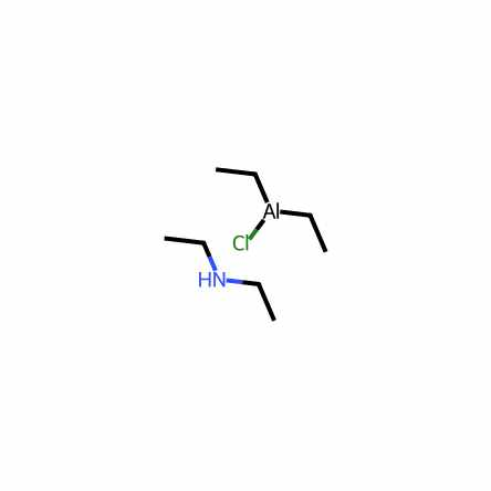 CCNCC.C[CH2][Al]([Cl])[CH2]C